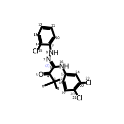 CC(C)(C)C(=O)/C(=N/Nc1ccccc1Cl)Nc1ccc(Cl)c(Cl)c1